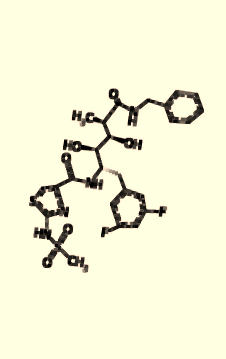 C[C@@H](C(=O)NCc1ccccc1)[C@@H](O)[C@H](O)[C@H](Cc1cc(F)cc(F)c1)NC(=O)c1csc(NS(C)(=O)=O)n1